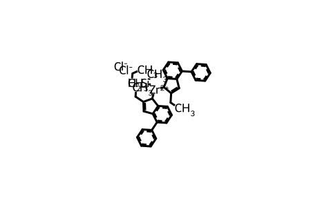 CCC.CCC1=Cc2c(-c3ccccc3)cccc2[CH]1[Zr+2]([SiH2]C)[CH]1C(CC)=Cc2c(-c3ccccc3)cccc21.[Cl-].[Cl-]